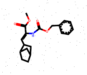 COC(=O)C(=CC1CC2CCC1C2)NC(=O)OCc1ccccc1